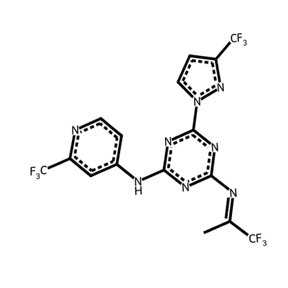 C/C(=N\c1nc(Nc2ccnc(C(F)(F)F)c2)nc(-n2ccc(C(F)(F)F)n2)n1)C(F)(F)F